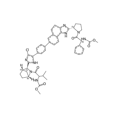 COC(=O)NC(C(=O)N1[C@@H]2CC[C@@H](C2)[C@H]1c1nc(Cl)c(-c2ccc(-c3ccc4c(ccc5nc([C@@H]6CCCN6C(=O)[C@H](NC(=O)OC)c6ccccc6)[nH]c54)c3)cc2)[nH]1)C(C)C